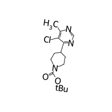 Cc1ncnc(C2CCN(C(=O)OC(C)(C)C)CC2)c1Cl